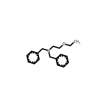 CCOCCN(Cc1ccccc1)Cc1ccccc1